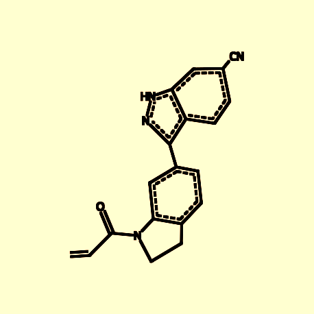 C=CC(=O)N1CCc2ccc(-c3n[nH]c4cc(C#N)ccc34)cc21